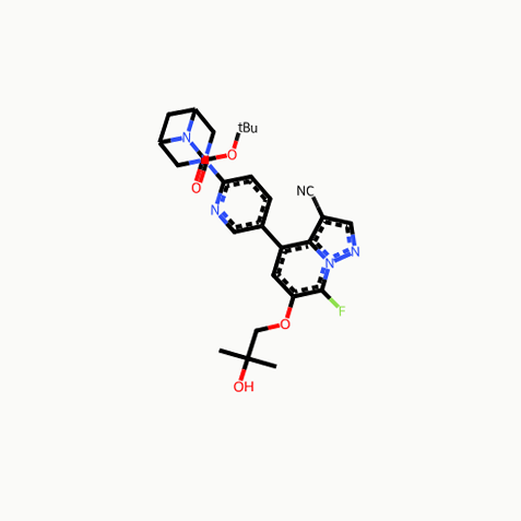 CC(C)(O)COc1cc(-c2ccc(N3CC4CC(C3)N4C(=O)OC(C)(C)C)nc2)c2c(C#N)cnn2c1F